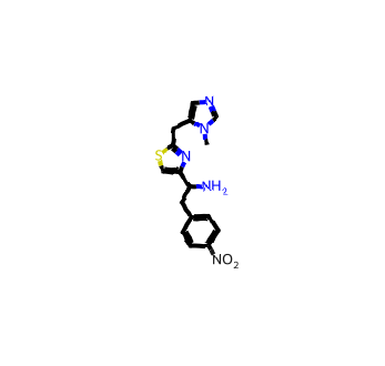 Cn1cncc1Cc1nc(C(N)Cc2ccc([N+](=O)[O-])cc2)cs1